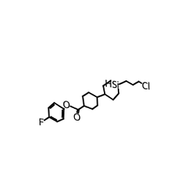 O=C(Oc1ccc(F)cc1)C1CCC(C2CC[SiH](CCCCl)CC2)CC1